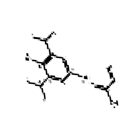 C=CC(=O)O.CC(C)c1cc(O)cc(C(C)C)c1O